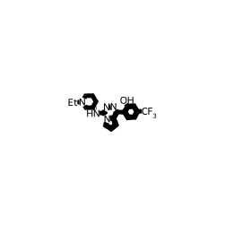 CCN1CCC[C@@H](Nc2nnc(-c3ccc(C(F)(F)F)cc3O)c3cccn23)C1